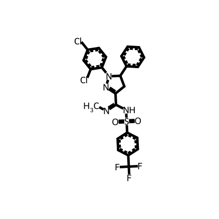 CN=C(NS(=O)(=O)c1ccc(C(F)(F)F)cc1)C1=NN(c2ccc(Cl)cc2Cl)C(c2ccccc2)C1